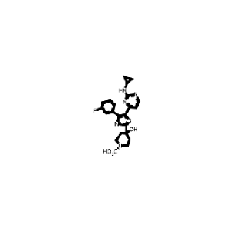 O=C(O)N1CCC(O)(c2nc(-c3cccc(F)c3)c(-c3ccnc(NC4CC4)n3)s2)CC1